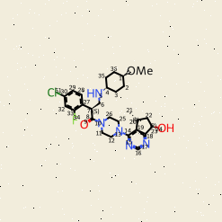 CO[C@H]1CC[C@H](NC[C@@H](C(=O)N2CCN(c3ncnc4c3[C@H](C)C[C@H]4O)CC2)c2ccc(Cl)cc2F)CC1